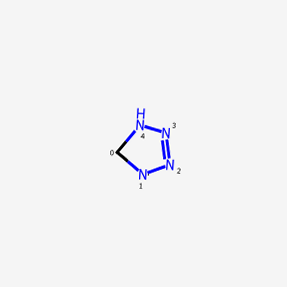 C1[N]N=NN1